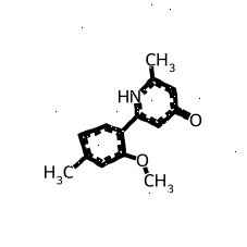 COc1cc(C)ccc1-c1cc(=O)cc(C)[nH]1